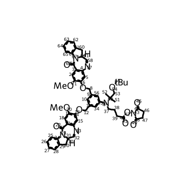 COc1cc2c(cc1OCc1cc(COc3cc4c(cc3OC)C(=O)N3c5ccccc5C[C@H]3C=N4)cc(N(CCCC(=O)ON3C(=O)CCC3=O)C(C)(C)COC(C)(C)C)c1)N=C[C@@H]1Cc3ccccc3N1C2=O